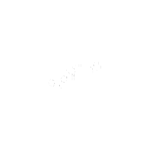 O=C(N[C@@H](CCCCNC(=O)C(F)(F)F)C(=O)O)c1ccc(C(=O)c2ccccc2)cc1